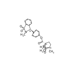 CN1[C@H](c2ccc(OC(=O)[C@@]34CC[C@@](C)(C(=O)O3)C4(C)C)cc2)c2ccccc2S1(=O)=O